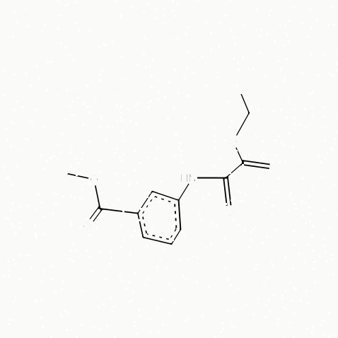 C=C(OCC)C(=O)Nc1cccc(C(=O)OC)c1